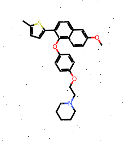 COc1ccc2c(Oc3ccc(OCCN4CCCCC4)cc3)c(-c3ccc(C)s3)ccc2c1